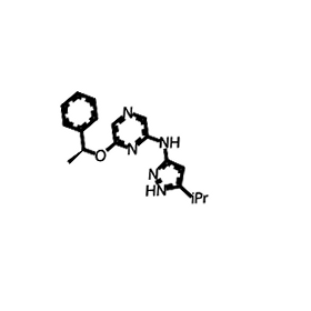 CC(C)c1cc(Nc2cncc(O[C@@H](C)c3ccccc3)n2)n[nH]1